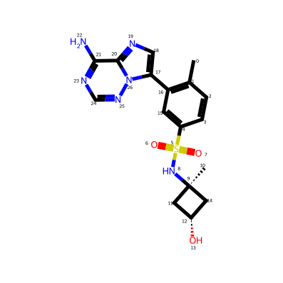 Cc1ccc(S(=O)(=O)N[C@]2(C)C[C@@H](O)C2)cc1-c1cnc2c(N)ncnn12